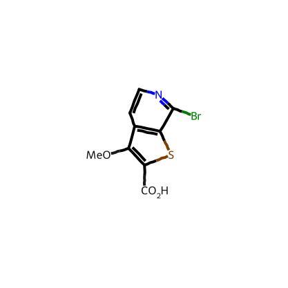 COc1c(C(=O)O)sc2c(Br)nccc12